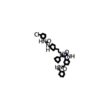 C[C@@H](NC(=O)c1ccc2c(c1)/C(=C(/NCCc1ccc(NC(=O)Nc3cccc(Cl)c3)cc1)c1ccccc1)C(=O)N2)c1ccccc1